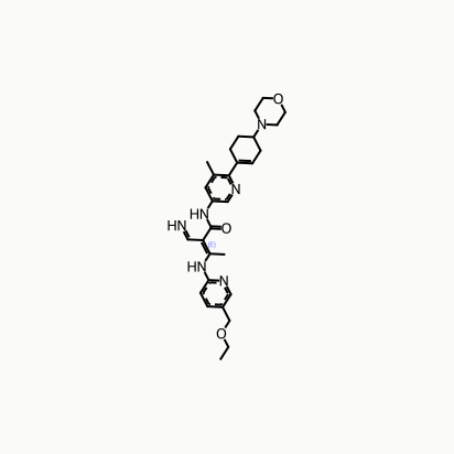 CCOCc1ccc(N/C(C)=C(\C=N)C(=O)Nc2cnc(C3=CCC(N4CCOCC4)CC3)c(C)c2)nc1